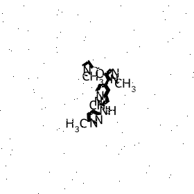 Cc1cc(C)c(Nc2cc3cc(-c4c(OC[C@H]5CCN5C)cnn4C)ccn3n2)nn1